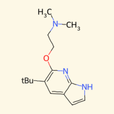 CN(C)CCOc1nc2[nH]ccc2cc1C(C)(C)C